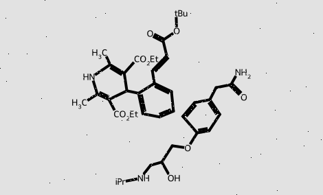 CC(C)NCC(O)COc1ccc(CC(N)=O)cc1.CCOC(=O)C1=C(C)NC(C)=C(C(=O)OCC)C1c1ccccc1/C=C/C(=O)OC(C)(C)C